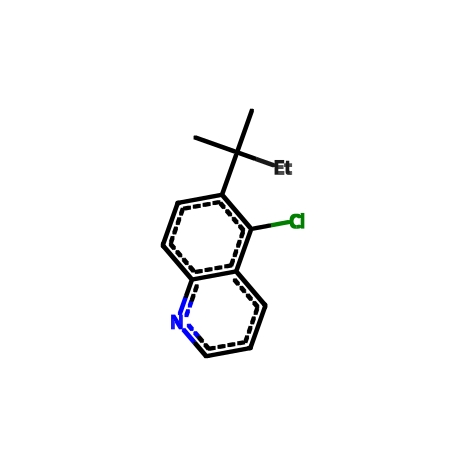 CCC(C)(C)c1ccc2ncccc2c1Cl